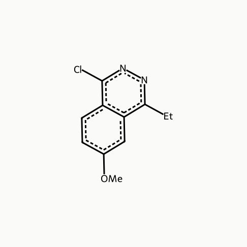 CCc1nnc(Cl)c2ccc(OC)cc12